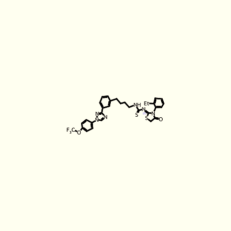 CCc1ccccc1N1C(=O)CS/C1=N\C(=S)NCCCCc1cccc(-c2ncn(-c3ccc(OC(F)(F)F)cc3)n2)c1